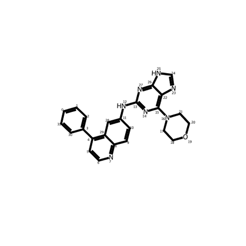 c1ccc(-c2ccnc3ccc(Nc4nc(N5CCOCC5)c5nc[nH]c5n4)cc23)cc1